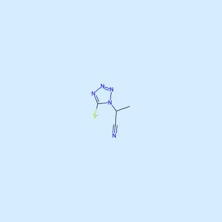 CC(C#N)n1nnnc1[S]